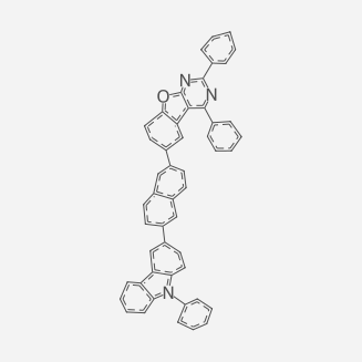 c1ccc(-c2nc(-c3ccccc3)c3c(n2)oc2ccc(-c4ccc5cc(-c6ccc7c(c6)c6ccccc6n7-c6ccccc6)ccc5c4)cc23)cc1